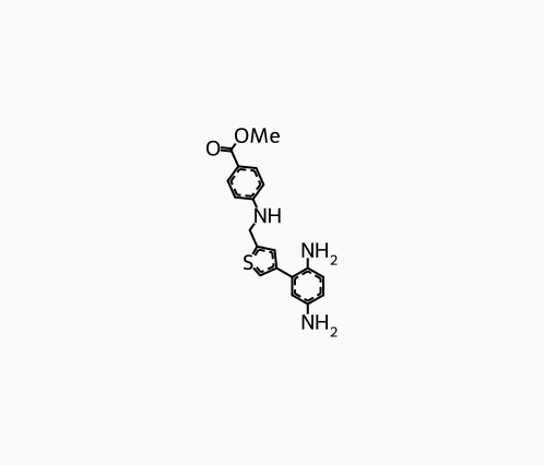 COC(=O)c1ccc(NCc2cc(-c3cc(N)ccc3N)cs2)cc1